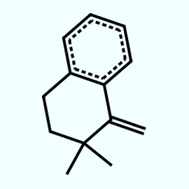 C=C1c2ccccc2CCC1(C)C